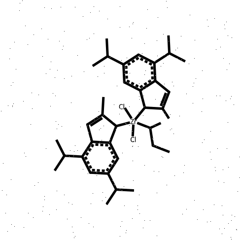 CC[CH](C)[Zr]([Cl])([Cl])([CH]1C(C)=Cc2c(C(C)C)cc(C(C)C)cc21)[CH]1C(C)=Cc2c(C(C)C)cc(C(C)C)cc21